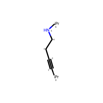 CC(C)C#CCCNC(C)C